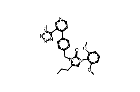 CCCc1cn(-c2c(OC)cccc2OC)c(=O)n1Cc1ccc(-c2ccncc2-c2nnn[nH]2)cc1